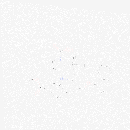 COC(=O)c1ccc(C=C(CNC2CCN(C(=O)O)C2C(C)(C)C)COc2cccc3ccccc23)cc1